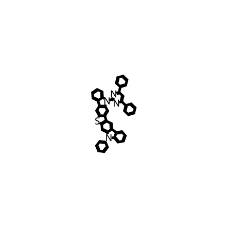 c1ccc(-c2cc(-c3ccccc3)nc(-n3c4ccccc4c4cc5sc6cc7c(cc6c5cc43)c3ccccc3n7-c3ccccc3)n2)cc1